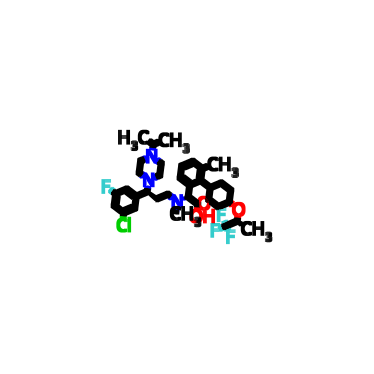 Cc1cccc([C@H](C(=O)O)N(C)CC[C@@H](c2cc(F)cc(Cl)c2)N2CCN(C(C)C)CC2)c1C1CCC(O[C@@H](C)C(F)(F)F)CC1